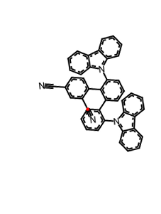 N#Cc1ccc(-c2c(-c3ccccc3-n3c4ccccc4c4ccccc43)cccc2-n2c3ccccc3c3ccccc32)c(C#N)c1